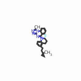 Cc1nnc2nc(N3CCCc4c(CCC5(C)CC5)cccc43)c3c(F)cccc3n12